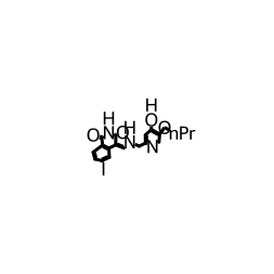 CCCOc1cnc(CNC=C2C(=O)NC(=O)c3ccc(I)cc32)cc1O